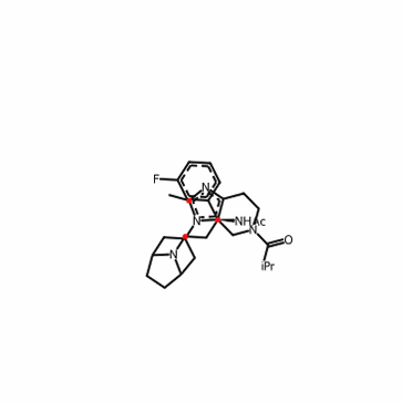 CC(=O)N[C@@H](CCN1C2CCC1CC(n1c(C)nc3c1CN(C(=O)C(C)C)CC3)C2)c1cccc(F)c1